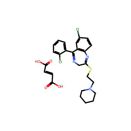 Clc1ccc2c(c1)C(c1ccccc1Cl)=NCC(SCCN1CCCCC1)=N2.O=C(O)C=CC(=O)O